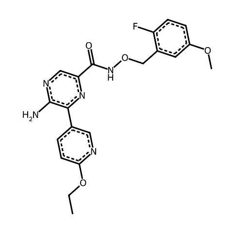 CCOc1ccc(-c2nc(C(=O)NOCc3cc(OC)ccc3F)cnc2N)cn1